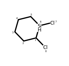 ClC1CCCC[SiH]1Cl